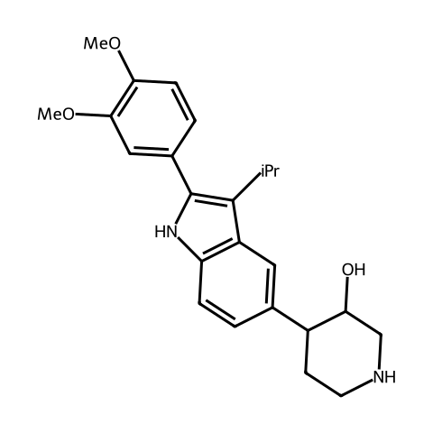 COc1ccc(-c2[nH]c3ccc(C4CCNCC4O)cc3c2C(C)C)cc1OC